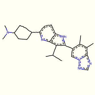 Cc1c(-c2[nH]c3ccc(C4CCC(N(C)C)CC4)nc3c2C(C)C)cn2ncnc2c1C